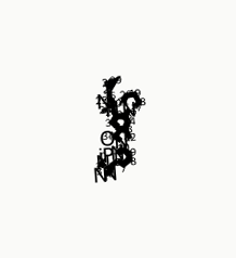 CC(C)n1cnnc1-c1cccc(N2Cc3cc(N4CCCCC4)c(-n4cnc(C5CC5)c4)cc3C2=O)n1